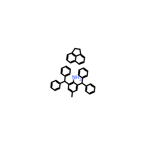 Cc1cc(C(c2ccccc2)c2ccccc2)c(N)c(C(c2ccccc2)c2ccccc2)c1.c1cc2c3c(cccc3c1)CC2